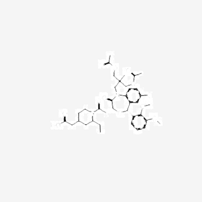 CCC1CC(CC(=O)O)CCN1C(=O)C[C@H]1O[C@H](c2cccc(OC)c2OC)c2cc(Cl)ccc2N(CC(C)(COC(C)=O)COC(C)=O)C1=O